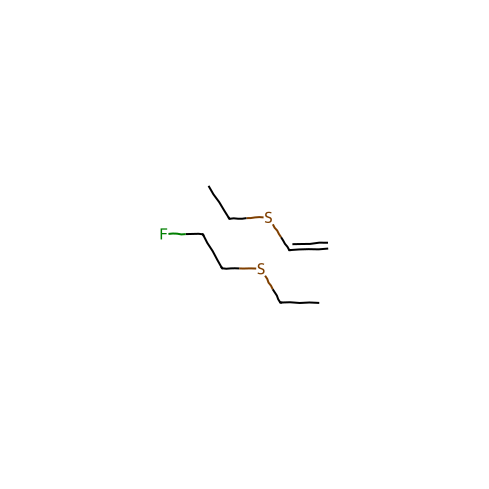 C=CSCC.CCSCCF